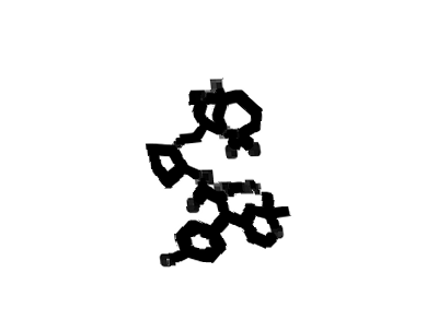 CCCNC(C(=O)N[C@H]1CCC[C@@H]1CC[C@H]1CN[C@@H]2CCCS(=O)(=O)N1C2)C(c1ccc(Cl)cc1)C1CCOC(C)(C)C1